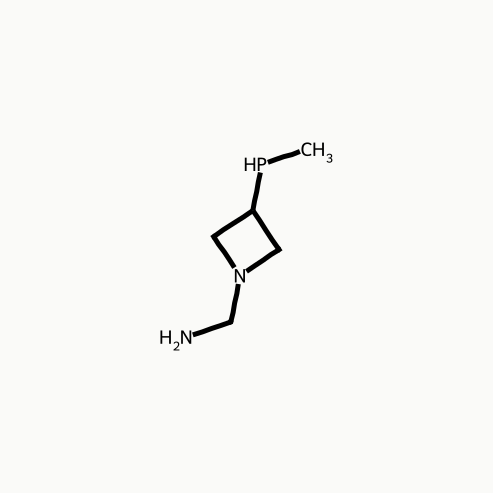 CPC1CN(CN)C1